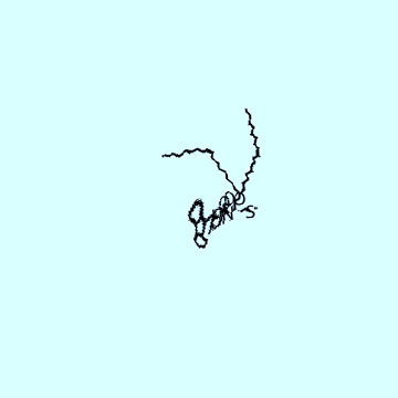 CCCCCCCC/C=C\CCCCCCCCC(CCCCCCC/C=C\CCCCCCCC)OC(=O)[C@H](CCSC)NC(=O)OCC1c2ccccc2-c2ccccc21